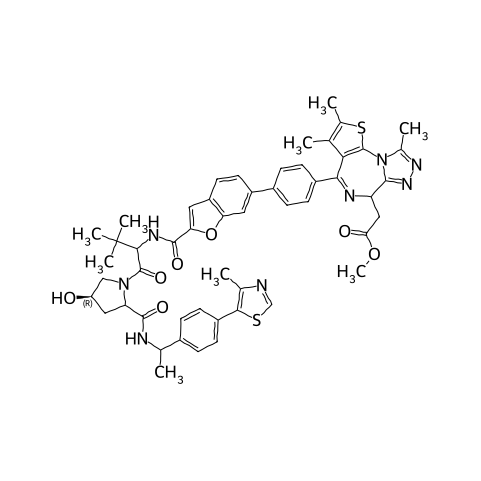 COC(=O)CC1N=C(c2ccc(-c3ccc4cc(C(=O)NC(C(=O)N5C[C@H](O)CC5C(=O)NC(C)c5ccc(-c6scnc6C)cc5)C(C)(C)C)oc4c3)cc2)c2c(sc(C)c2C)-n2c(C)nnc21